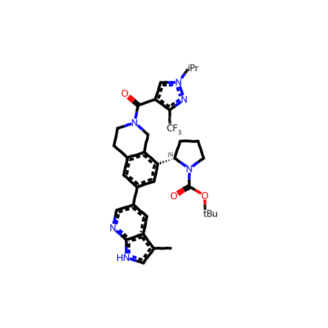 Cc1c[nH]c2ncc(-c3cc4c(c([C@@H]5CCCN5C(=O)OC(C)(C)C)c3)CN(C(=O)c3cn(C(C)C)nc3C(F)(F)F)CC4)cc12